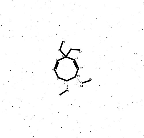 CC[C@@H]1CC=CC(CC)(CC)C=C[C@@H]1CC